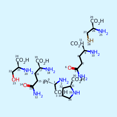 CC(C)[C@H](N)C(=O)O.NC(=O)CC[C@H](N)C(=O)O.NC(=O)CC[C@H](N)C(=O)O.N[C@@H](CO)C(=O)O.N[C@@H](CS)C(=O)O.O=C(O)[C@@H]1CCCN1